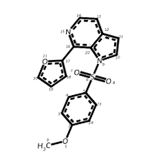 COc1ccc(S(=O)(=O)n2ccc3ccnc(-c4ccco4)c32)cc1